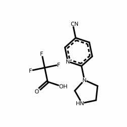 N#Cc1ccc(N2CCNC2)nc1.O=C(O)C(F)(F)F